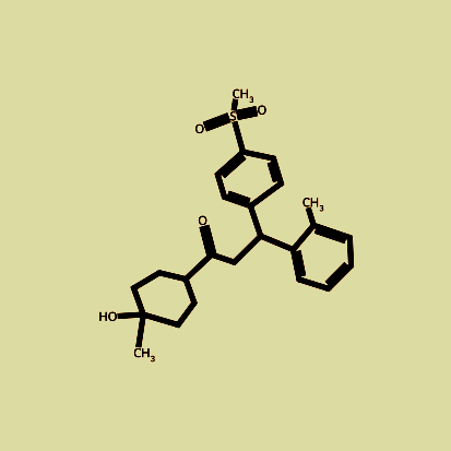 Cc1ccccc1C(CC(=O)C1CCC(C)(O)CC1)c1ccc(S(C)(=O)=O)cc1